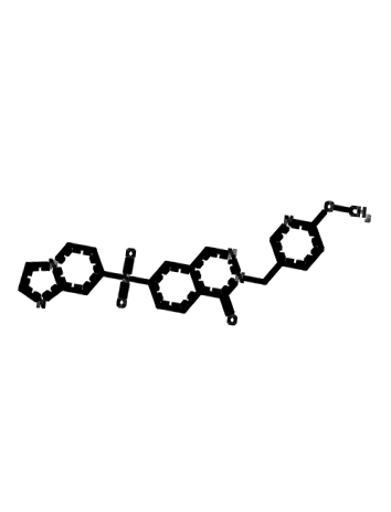 COc1ccc(Cn2ncc3cc(S(=O)(=O)c4ccn5ccnc5c4)ccc3c2=O)cn1